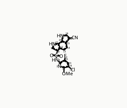 COc1nc(NS(=O)(=O)c2c[nH]c3c2ccc2c(C#N)c[nH]c23)c(F)cc1Cl